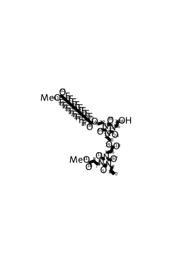 C=CCn1c(=O)n(CCC(=O)OC)c(=O)n(CCC(=O)OCCn2c(=O)n(CCO)c(=O)n(CCOC(=O)C(F)(F)C(F)(F)C(F)(F)C(F)(F)C(F)(F)C(F)(F)C(F)(F)C(F)(F)C(=O)OC)c2=O)c1=O